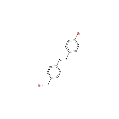 BrCc1ccc(C=Cc2ccc(Br)cc2)cc1